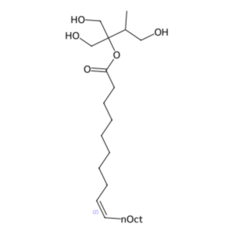 CCCCCCCC/C=C\CCCCCCCC(=O)OC(CO)(CO)C(C)CO